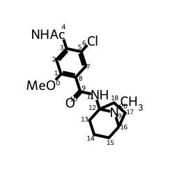 COc1cc(NC(C)=O)c(Cl)cc1C(=O)NC12CCCC(CC1)N2C